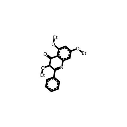 CCOc1cc2c(c(OCC)c1)C(=O)C(OCC)C(c1ccccc1)=N2